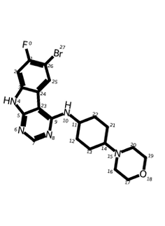 Fc1cc2[nH]c3ncnc(NC4CCC(N5CCOCC5)CC4)c3c2cc1Br